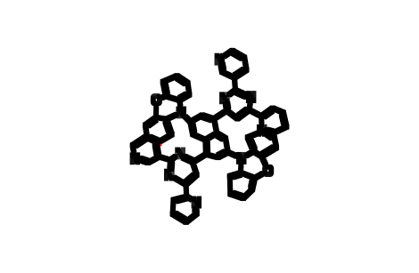 c1ccc(-c2cc(-c3cc(N4c5ccccc5Oc5ccccc54)cc4c(-c5cc(-c6ccccn6)nc(-c6cccnc6)n5)cc(N5c6ccccc6Oc6ccccc65)cc34)nc(-c3cccnc3)n2)nc1